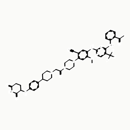 COc1cc(N2CCN(C(=O)CN3CCC(c4ccc(NC5CCC(=O)NC5=O)cc4)CC3)CC2)c(C#N)cc1Nc1ncc(C(F)(F)F)c(Nc2ccccc2C(C)=O)n1